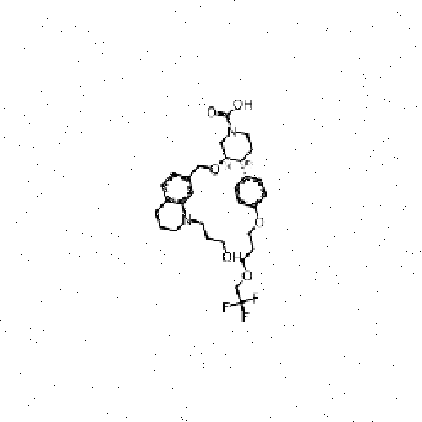 O=C(O)N1CC[C@H](c2ccc(OCCCOCC(F)(F)F)cc2)[C@@H](OCc2ccc3c(c2)N(CCCO)CCC3)C1